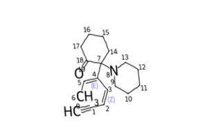 C#C/C=C\C(=C/C)C1(N2CCCCC2)CCCCC1=O